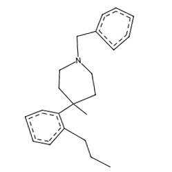 CCCc1ccccc1C1(C)CCN(Cc2ccccc2)CC1